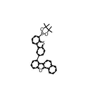 CC1(C)OB(c2cccc3c2sc2ccc(-c4cccc5oc6c7ccccc7ccc6c45)cc23)OC1(C)C